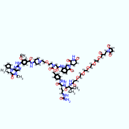 CC[C@@H]1C(=O)N(C)c2cnc(Nc3ccc(C(=O)NC4CCN(CCOCCN(CC(=O)Nc5cccc6c5CN(C5CCC(=O)NC5=O)C6=O)C(=O)OCc5ccc(NC(=O)[C@H](CCCNC(N)=O)NC(=O)[C@@H](NC(=O)CCOCCOCCOCCOCCOCC(=O)CCN6C(=O)C=CC6=O)C(C)C)cc5)CC4)cc3OC)nc2N1C1CCCC1